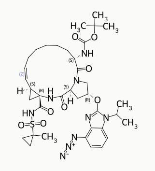 CC(C)n1c(O[C@@H]2C[C@H]3C(=O)N[C@]4(C(=O)NS(=O)(=O)C5(C)CC5)C[C@H]4/C=C\CCCCC[C@H](NC(=O)OC(C)(C)C)C(=O)N3C2)nc2c(N=[N+]=[N-])cccc21